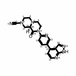 N#CN1CCN2CCN(c3ccc(-c4ccnc5[nH]ncc45)cn3)C(=O)[C@H]2C1